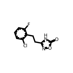 O=c1[nH]c(CCc2c(F)cccc2Cl)no1